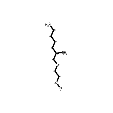 CCOCCOCC(N)CCCCN